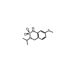 CSc1ccc2c(c1)NS(=O)(=O)N(C(C)C)C2